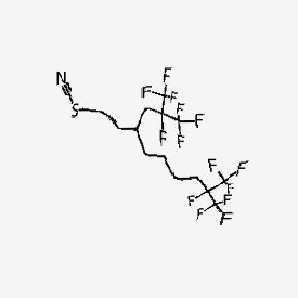 N#CSCCC(CCCCC(F)(C(F)(F)F)C(F)(F)F)CC(F)(C(F)(F)F)C(F)(F)F